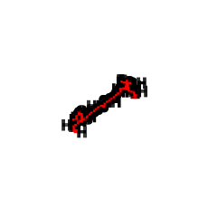 Cc1ccnc(NCCCC(=O)N[C@@H](CCC(=O)NCCOCCOCCOCCNC(=O)CCC(=O)NCCOCCOCCOCCNC(=O)CC[C@H](NC(=O)CCCNc2cc(C)ccn2)C(=O)NC(CC(=O)O)c2cccc(OC(F)(F)F)c2)C(=O)NC(CC(=O)O)c2cccc(OC(F)(F)F)c2)c1